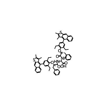 CCc1cc(-c2c3ccccc3cc3sc(C)c(C)c23)cc(CC)c1O[C@H](Cc1ccccc1)C(=O)NC(NC(=O)[C@@H](Cc1ccccc1)Oc1c(CC)cc(-c2c3ccccc3cc3sc(C)c(C)c23)cc1CC)C(=O)O